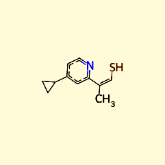 C/C(=C/S)c1cc(C2CC2)ccn1